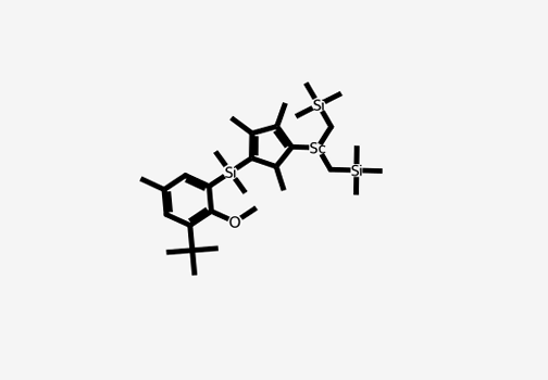 COc1c(C(C)(C)C)cc(C)cc1[Si](C)(C)C1=C(C)C(C)=[C]([Sc]([CH2][Si](C)(C)C)[CH2][Si](C)(C)C)C1C